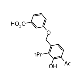 CCCc1c(COc2cccc(C(=O)O)c2)ccc(C(C)=O)c1O